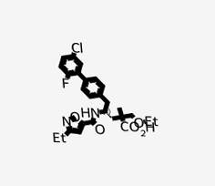 CCOCC(C)(C[C@@H](Cc1ccc(-c2cc(Cl)ccc2F)cc1)NC(=O)c1cc(CC)no1)C(=O)O